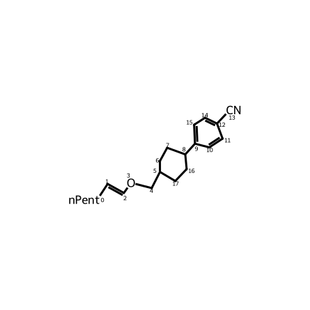 CCCCC/C=C/OCC1CCC(c2ccc(C#N)cc2)CC1